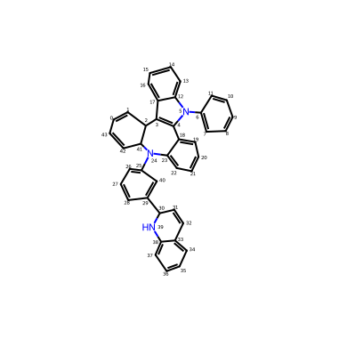 C1=CC2c3c(n(-c4ccccc4)c4ccccc34)-c3ccccc3N(c3cccc(C4C=Cc5ccccc5N4)c3)C2C=C1